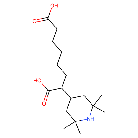 CC1(C)CC(C(CCCCCC(=O)O)C(=O)O)CC(C)(C)N1